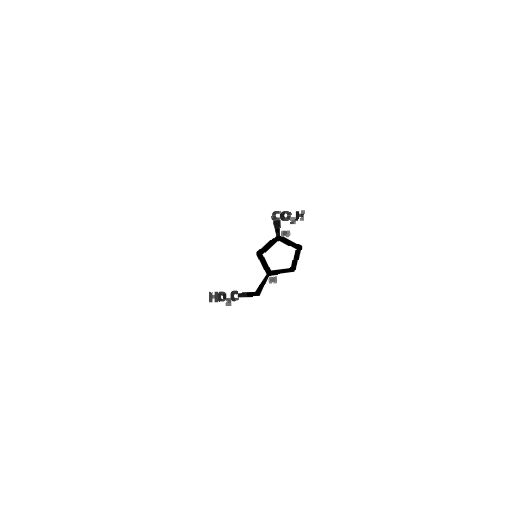 O=C(O)C[C@@H]1CC[C@H](C(=O)O)C1